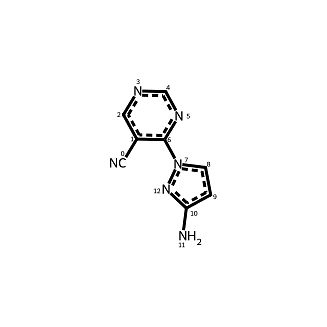 N#Cc1cncnc1-n1ccc(N)n1